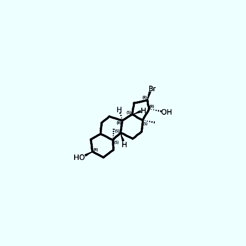 C[C@]12CC[C@H]3[C@@H](CCC4C[C@H](O)CC[C@@]43C)[C@@H]1C[C@@H](Br)[C@@H]2O